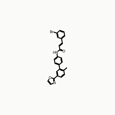 Cc1ccc(-c2ncco2)cc1-c1ccc(NC(=O)/C=C/c2cccc(Br)c2)cc1